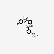 O=C(O)Nc1cccc(C(=O)Nc2cccc(S(=O)(=O)Nc3ccc(Cl)cc3)c2)c1